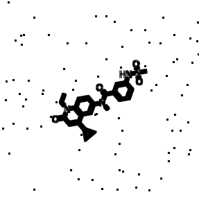 CCn1c(=O)cc(C2CC2)c2cc(N(C)C(=O)c3cccc(NS(C)(=O)=O)c3)ccc21